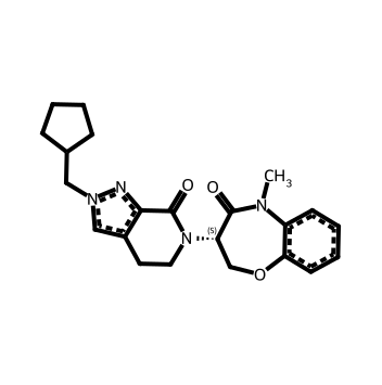 CN1C(=O)[C@@H](N2CCc3cn(CC4CCCC4)nc3C2=O)COc2ccccc21